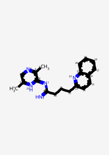 Cc1cnc(C)/c(=N/C(=N)CCCc2ccc3ccccc3n2)[nH]1